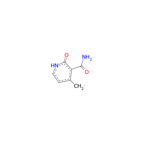 [CH2]c1cc[nH]c(=O)c1C(N)=O